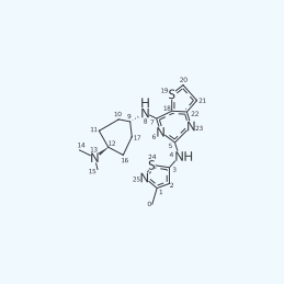 Cc1cc(Nc2nc(N[C@H]3CC[C@H](N(C)C)CC3)c3sccc3n2)sn1